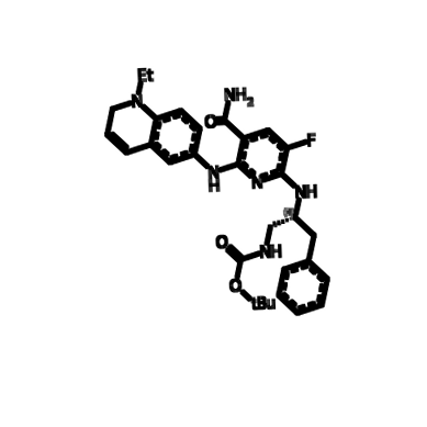 CCN1CC=Cc2cc(Nc3nc(N[C@@H](CNC(=O)OC(C)(C)C)Cc4ccccc4)c(F)cc3C(N)=O)ccc21